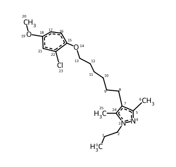 CCCn1nc(C)c(CCCCCCOc2ccc(OC)cc2Cl)c1C